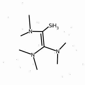 CN(C)C([SiH3])=C(N(C)C)N(C)C